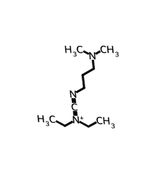 CC[N+](=C=NCCCN(C)C)CC